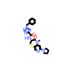 CN1C(=O)[C@@H](NC(=O)c2nnn(Cc3ccccc3)n2)CSc2cnc(N3CCCC3)cc21